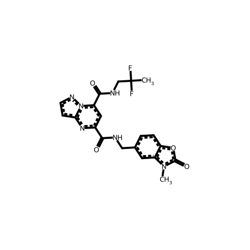 Cn1c(=O)oc2ccc(CNC(=O)c3cc(C(=O)NCC(C)(F)F)n4nccc4n3)cc21